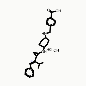 CC(C)/C(=C\c1ccccc1)C1CC1NC1CCC(NCc2ccc(C(=O)O)cc2)CC1.Cl.Cl